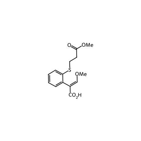 CO/C=C(/C(=O)O)c1ccccc1SCCC(=O)OC